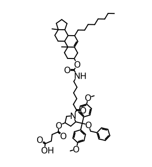 CCCCCCCCC1C=C2CC(OC(=O)NCCCCCC(=O)N3CC(OC(=O)CCC(=O)O)CC3C(OCc3ccccc3)(c3ccc(OC)cc3)c3ccc(OC)cc3)CCC2(C)C2CCC3(C)CCCC3C12